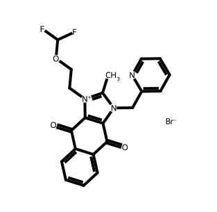 Cc1n(Cc2ccccn2)c2c([n+]1CCOC(F)F)C(=O)c1ccccc1C2=O.[Br-]